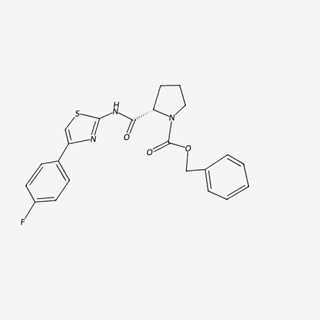 O=C(Nc1nc(-c2ccc(F)cc2)cs1)[C@@H]1CCCN1C(=O)OCc1ccccc1